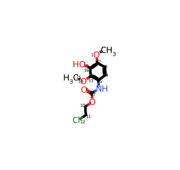 COc1ccc(NC(=O)OCCCl)c(OC)c1O